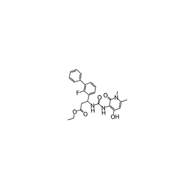 CCOC(=O)CC(NC(=O)Nc1c(O)cc(C)n(C)c1=O)c1cccc(-c2ccccc2)c1F